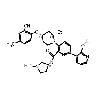 CCOc1ncccc1-c1ccc(N2CC[C@H](Oc3ccc(C)cc3C#N)C[C@@H]2CC)c(C(=O)N[C@@H]2CCN(C)C2)n1